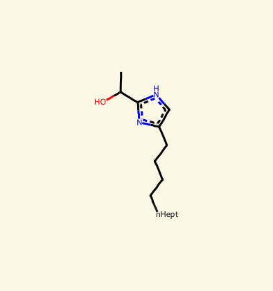 CCCCCCCCCCCc1c[nH]c(C(C)O)n1